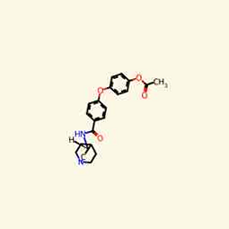 CC(=O)Oc1ccc(Oc2ccc(C(=O)N[C@H]3CN4CCC3CC4)cc2)cc1